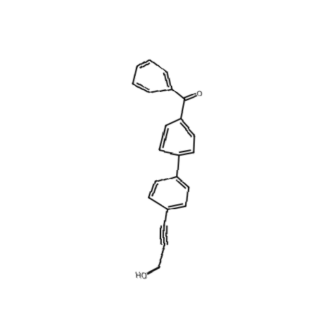 O=C(c1ccccc1)c1ccc(-c2ccc(C#CCO)cc2)cc1